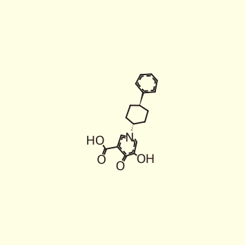 O=C(O)c1cn([C@H]2CC[C@H](c3ccccc3)CC2)cc(O)c1=O